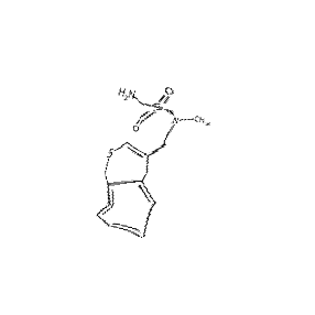 CN(Cc1csc2ccccc12)S(N)(=O)=O